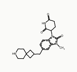 Cn1c(=O)n(C2CCC(=O)NC2=O)c2ccc(CC3CC4(CCNCC4)C3)cc21